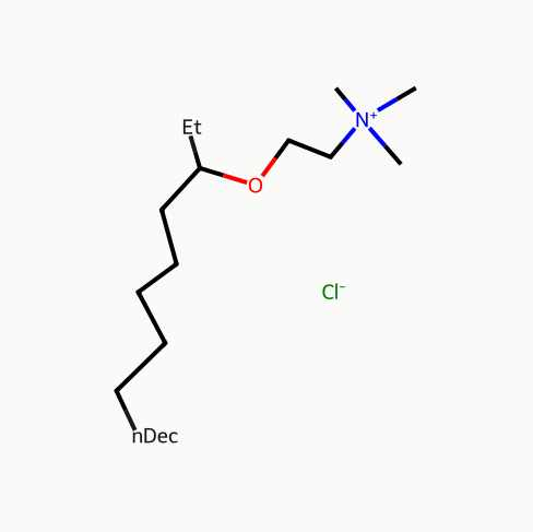 CCCCCCCCCCCCCCCC(CC)OCC[N+](C)(C)C.[Cl-]